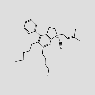 CCCCCc1nc2c(c(-c3ccccc3)c1CCCCC)CC[C@@]2(C#N)CC=C(C)C